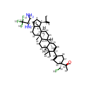 C=C(C)[C@@H]1CC[C@]2(NC(CN)C(F)(F)F)CC[C@]3(C)[C@H](CC[C@@H]4[C@@]5(C)CC=C(C6=CC[C@](CF)(C(C)=O)CC6)C(C)(C)[C@@H]5CC[C@]43C)[C@@H]12